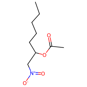 CCCCCC(C[N+](=O)[O-])OC(C)=O